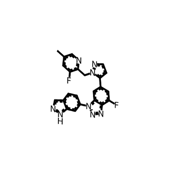 Cc1cnc(Cn2nccc2-c2cc(F)c3nnn(-c4ccc5cn[nH]c5c4)c3c2)c(F)c1